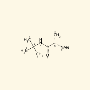 CN[C@@H](C)C(=O)NC(C)(C)N